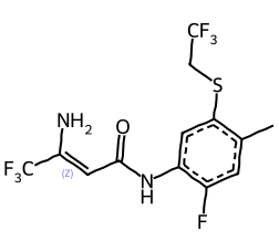 Cc1cc(F)c(NC(=O)/C=C(\N)C(F)(F)F)cc1SCC(F)(F)F